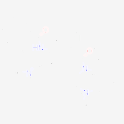 O=C(Nc1ccc(C(=O)N2Cc3cccn3Cc3ccccc32)c(Cl)c1)c1ccccc1-c1ccncc1